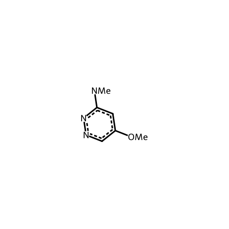 CNc1cc(OC)cnn1